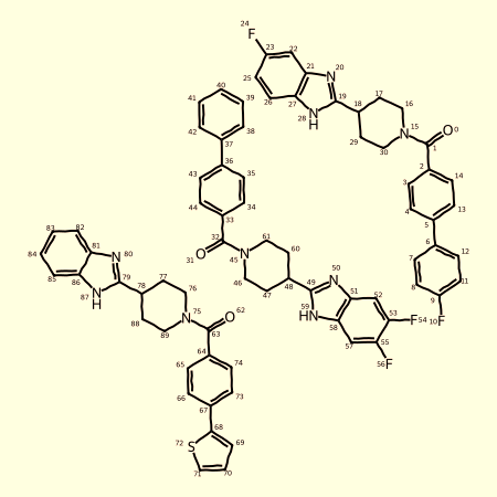 O=C(c1ccc(-c2ccc(F)cc2)cc1)N1CCC(c2nc3cc(F)ccc3[nH]2)CC1.O=C(c1ccc(-c2ccccc2)cc1)N1CCC(c2nc3cc(F)c(F)cc3[nH]2)CC1.O=C(c1ccc(-c2cccs2)cc1)N1CCC(c2nc3ccccc3[nH]2)CC1